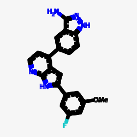 COc1cc(F)cc(-c2cc3c(-c4ccc5[nH]nc(N)c5c4)ccnc3[nH]2)c1